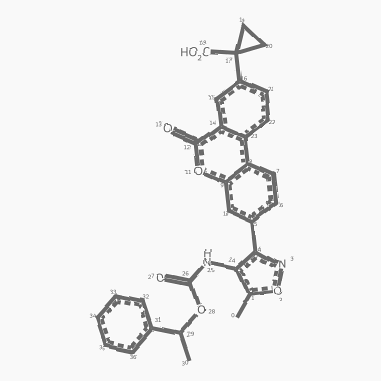 Cc1onc(-c2ccc3c(c2)oc(=O)c2cc(C4(C(=O)O)CC4)ccc23)c1NC(=O)OC(C)c1ccccc1